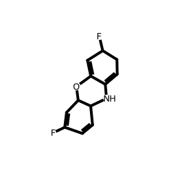 FC1=CC2OC3=CC(F)CC=C3NC2C=C1